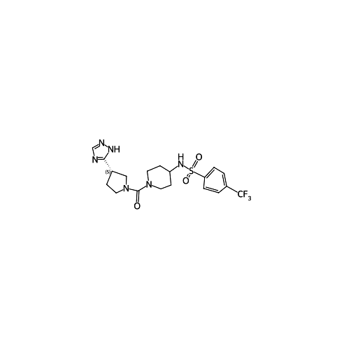 O=C(N1CCC(NS(=O)(=O)c2ccc(C(F)(F)F)cc2)CC1)N1CC[C@H](c2ncn[nH]2)C1